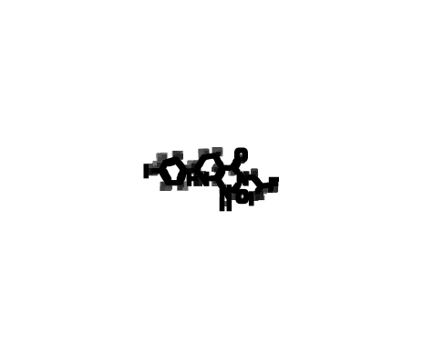 O=c1[nH]c2c(c(=O)n1CC(F)F)CC[C@H](c1ccc(F)cc1)N2